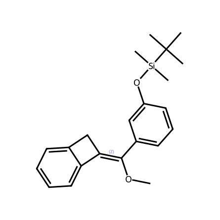 CO/C(=C1/Cc2ccccc21)c1cccc(O[Si](C)(C)C(C)(C)C)c1